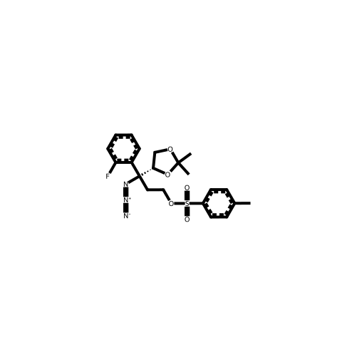 Cc1ccc(S(=O)(=O)OCCC(N=[N+]=[N-])(c2ccccc2F)[C@@H]2COC(C)(C)O2)cc1